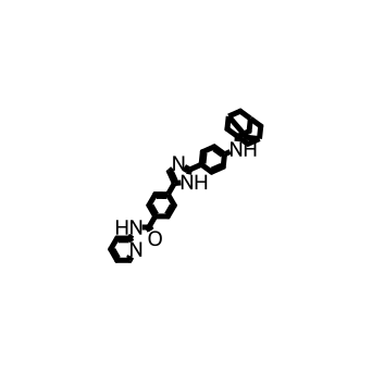 O=C(Nc1ccccn1)c1ccc(-c2cnc(-c3ccc(NC45CC6CC(CC(C6)C4)C5)cc3)[nH]2)cc1